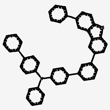 c1ccc(-c2ccc(N(c3ccccc3)c3ccc(-c4cccc(-c5ccc6sc7ccc(-c8ccccc8)cc7c6c5)c4)cc3)cc2)cc1